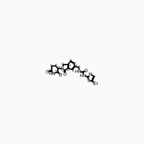 CCc1cnc(NC(=O)NCc2ccc3c(c2)C(=O)N(C2CCC(=O)NC2=O)C3)s1